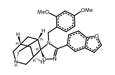 COc1ccc(CN2C(c3ccc4occc4c3)=NO[C@]23[C@@H]2C[C@H]4C[C@H]3C[N@](C4)C2)c(OC)c1